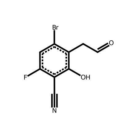 N#Cc1c(F)cc(Br)c(CC=O)c1O